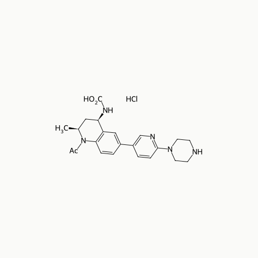 CC(=O)N1c2ccc(-c3ccc(N4CCNCC4)nc3)cc2[C@H](NC(=O)O)C[C@@H]1C.Cl